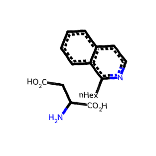 CCCCCCc1nccc2ccccc12.NC(CC(=O)O)C(=O)O